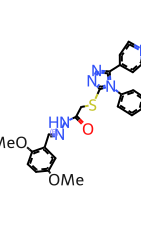 COc1ccc(OC)c(/C=N/NC(=O)CSc2nnc(-c3ccncc3)n2-c2ccccc2)c1